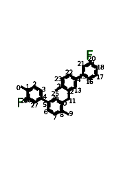 Cc1ccc(-c2ccc(C)c(Cc3cc(-c4cccc(F)c4)ccc3C)c2)cc1F